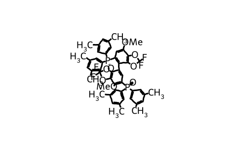 COc1cc(P(=O)(c2cc(C)cc(C)c2)c2cc(C)cc(C)c2)c(-c2cc(P(=O)(c3cc(C)cc(C)c3)c3cc(C)cc(C)c3)c(OC)c3c2OC(F)(F)O3)c2c1OC(F)(F)O2